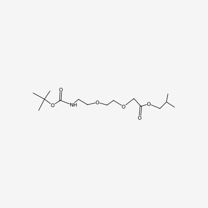 CC(C)COC(=O)COCCOCCNC(=O)OC(C)(C)C